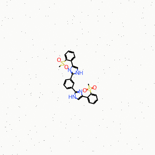 CS(=O)(=O)c1ccccc1-c1c[nH]c(-c2cccc(-c3nc(-c4ccccc4S(C)(=O)=O)c[nH]3)c2)n1